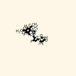 CC(C)(C)c1cc(C(C)(C)C)c2c(c1F)COP(=O)(OCC1OC(n3cc([125I])c(=O)[nH]c3=O)CC1F)O2